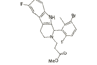 COC(=O)CCN1CCc2c([nH]c3ccc(F)cc23)C1c1c(F)ccc(Br)c1C